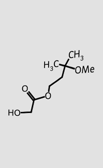 COC(C)(C)CCOC(=O)CO